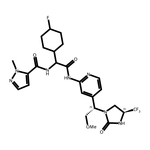 COC[C@H](c1ccnc(NC(=O)C(NC(=O)c2ccnn2C)C2CCC(F)CC2)c1)N1C[C@@H](C(F)(F)F)NC1=O